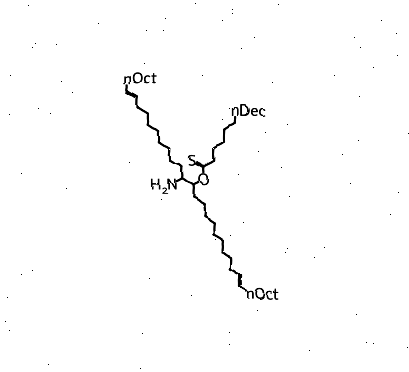 CCCCCCCCC=CCCCCCCCCCC(OC(=S)CCCCCCCCCCCCCCC)C(N)CCCCCCCCC=CCCCCCCCC